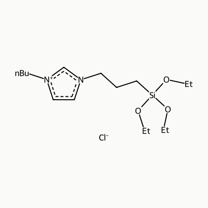 CCCC[n+]1ccn(CCC[Si](OCC)(OCC)OCC)c1.[Cl-]